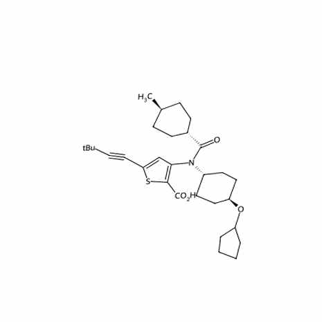 CC(C)(C)C#Cc1cc(N(C(=O)[C@H]2CC[C@H](C)CC2)[C@H]2CC[C@H](OC3CCCC3)CC2)c(C(=O)O)s1